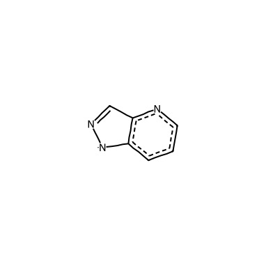 C1=N[N]c2cccnc21